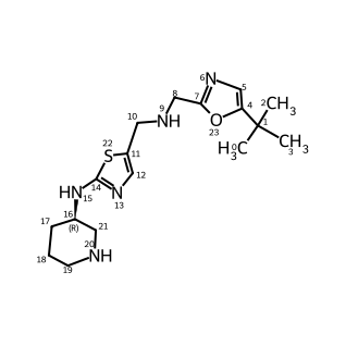 CC(C)(C)c1cnc(CNCc2cnc(N[C@@H]3CCCNC3)s2)o1